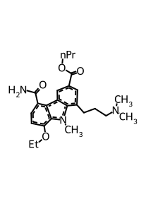 CCCOC(=O)c1cc(CCCN(C)C)c2c(c1)c1c(C(N)=O)ccc(OCC)c1n2C